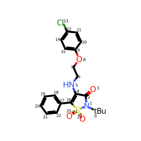 CC(C)(C)N1C(=O)C(NCCOc2ccc(Cl)cc2)=C(c2ccccc2)S1(=O)=O